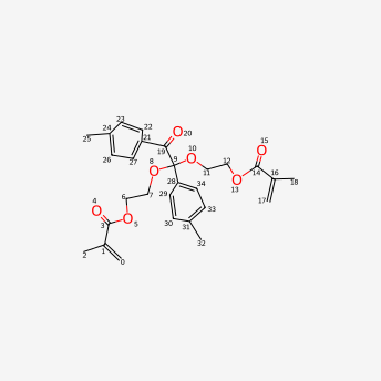 C=C(C)C(=O)OCCOC(OCCOC(=O)C(=C)C)(C(=O)c1ccc(C)cc1)c1ccc(C)cc1